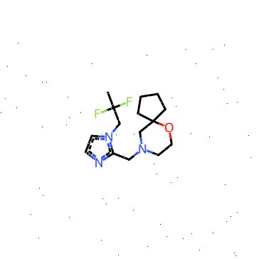 CC(F)(F)Cn1ccnc1CN1CCOC2(CCCC2)C1